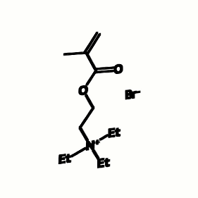 C=C(C)C(=O)OCC[N+](CC)(CC)CC.[Br-]